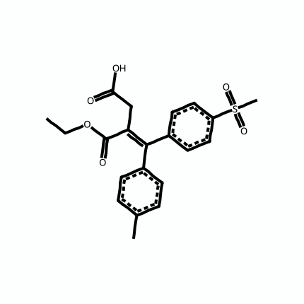 CCOC(=O)C(CC(=O)O)=C(c1ccc(C)cc1)c1ccc(S(C)(=O)=O)cc1